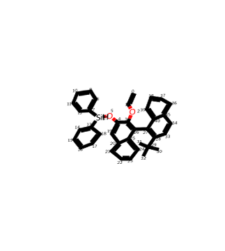 C=COc1c(O[SiH](c2ccccc2)c2ccccc2)cc2ccccc2c1-c1c(C(C)(C)C)ccc2ccccc12